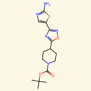 CC(C)(C)OC(=O)N1CCC(c2nc(-c3cnc(N)s3)no2)CC1